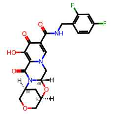 O=C(NCc1ccc(F)cc1F)c1cn2c(c(O)c1=O)C(=O)N1[C@@H]3COC[C@@H](C3)O[C@H]1C2